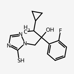 CC(C1CC1)C(O)(Cn1ncnc1S)c1ccccc1F